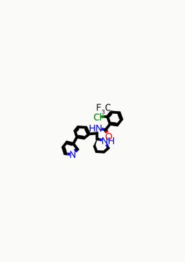 O=C(N[C@@H](c1cccc(-c2cccnc2)c1)[C@@H]1CCCCN1)c1cccc(C(F)(F)F)c1Cl